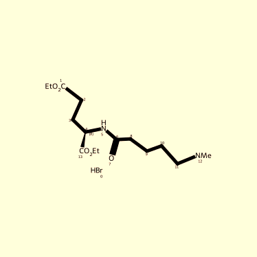 Br.CCOC(=O)CC[C@@H](NC(=O)CCCCNC)C(=O)OCC